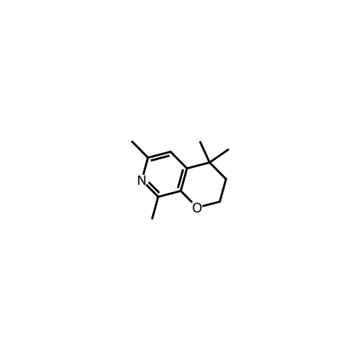 Cc1cc2c(c(C)n1)OCCC2(C)C